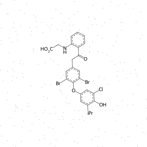 CC(C)c1cc(Oc2c(Br)cc(CC(=O)c3ccccc3NCC(=O)O)cc2Br)cc(Cl)c1O